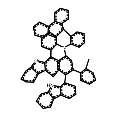 Cc1ccccc1-c1cc(N(c2ccccc2-c2cc3ccccc3c3ccccc23)c2ccccc2-c2cccc3c2oc2ccccc23)ccc1-c1cccc2c1[nH]c1ccccc12